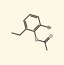 CCc1cccc(Br)c1OC(C)=O